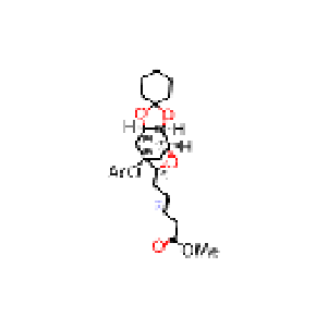 COC(=O)C/C=C/C[C@@H]1O[C@@H]2C[C@@]1(OC(C)=O)C[C@H]1OC3(CCCCC3)O[C@@H]21